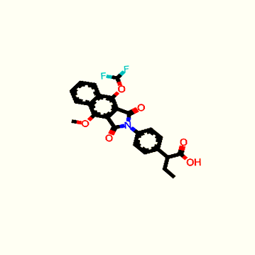 CCC(C(=O)O)c1ccc(N2C(=O)c3c(c(OC(F)F)c4ccccc4c3OC)C2=O)cc1